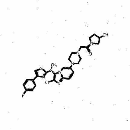 CCc1nc2ccc(N3CCN(CC(=O)N4CCC(O)C4)CC3)cn2c1N(C)c1nc(-c2ccc(F)cc2)cs1